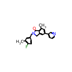 Cc1cc(CN2Cc3cc(-c4cccnc4)cc(C)c3C2=O)ccc1F